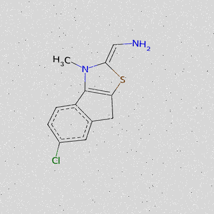 CN1C(=CN)SC2=C1c1ccc(Cl)cc1C2